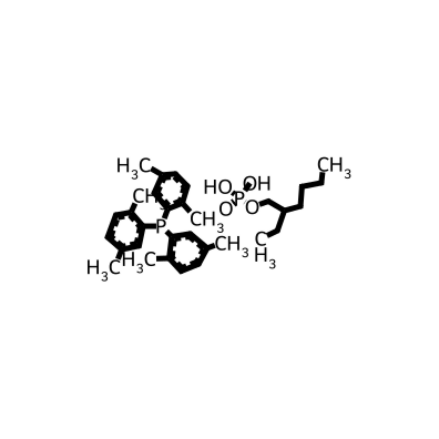 CCCCC(CC)COP(=O)(O)O.Cc1ccc(C)c(P(c2cc(C)ccc2C)c2cc(C)ccc2C)c1